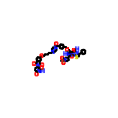 CS(=O)(=O)N1CCC(C(=O)N[C@@H](COCc2ccc(C(=O)N3CCN(CCCCCOc4ccc5c(c4)C(=O)N(C4CCC(=O)NC4=O)C5=O)CC3)cc2)C(=O)NC2NC(c3ccccc3)CS2)C1